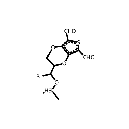 C[SiH](C)OC(C1COc2c(C=O)sc(C=O)c2O1)C(C)(C)C